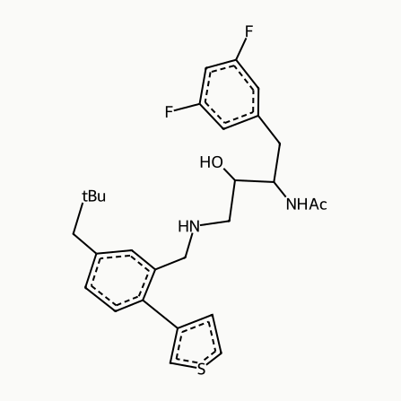 CC(=O)NC(Cc1cc(F)cc(F)c1)C(O)CNCc1cc(CC(C)(C)C)ccc1-c1ccsc1